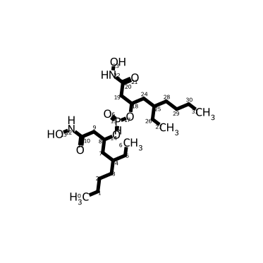 CCCCC(CC)CC(CC(=O)NO)O[PH](=O)OC(CC(=O)NO)CC(CC)CCCC